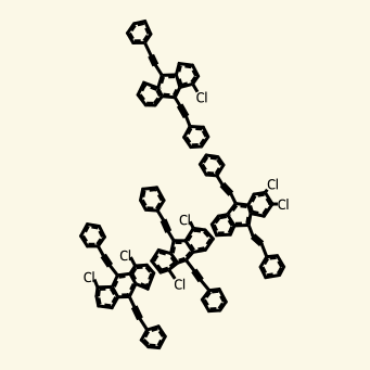 Clc1cc2c(C#Cc3ccccc3)c3ccccc3c(C#Cc3ccccc3)c2cc1Cl.Clc1cccc2c(C#Cc3ccccc3)c3c(Cl)cccc3c(C#Cc3ccccc3)c12.Clc1cccc2c(C#Cc3ccccc3)c3cccc(Cl)c3c(C#Cc3ccccc3)c12.Clc1cccc2c(C#Cc3ccccc3)c3ccccc3c(C#Cc3ccccc3)c12